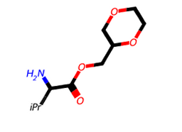 CC(C)C(N)C(=O)OCC1COCCO1